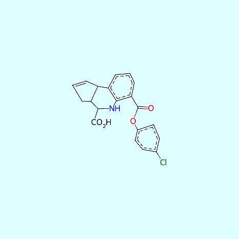 O=C(Oc1ccc(Cl)cc1)c1cccc2c1NC(C(=O)O)C1CC=CC21